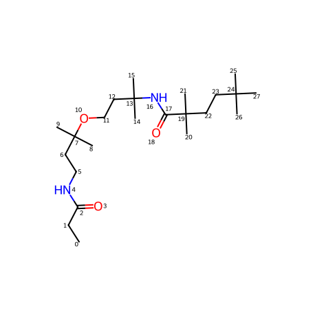 CCC(=O)NCCC(C)(C)OCCC(C)(C)NC(=O)C(C)(C)CCC(C)(C)C